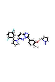 N#Cc1ccc(-c2cnc3ccc(N4CCCC4c4cc(F)ccc4F)nn23)cc1OC[C@@H]1CCCN1